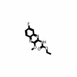 CCOC(=O)Nc1nc2cc(F)ccc2nc1OC